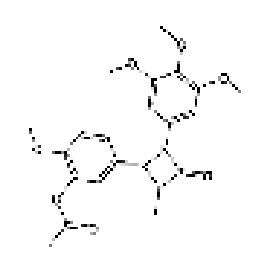 COc1ccc([C@H]2C(C)C(=O)N2c2cc(OC)c(OC)c(OC)c2)cc1OC(C)=O